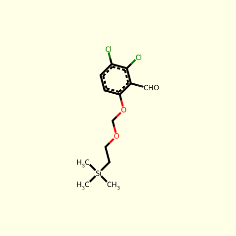 C[Si](C)(C)CCOCOc1ccc(Cl)c(Cl)c1C=O